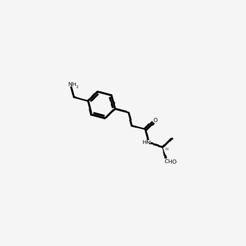 C[C@@H]([C]=O)NC(=O)CCc1ccc(CN)cc1